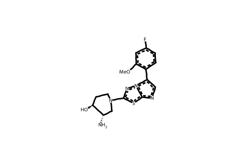 COc1cc(F)ccc1-c1cnc2sc(N3CC[C@H](O)[C@@H](N)C3)nn12